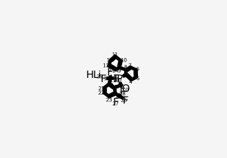 O=C(Pc1ccccc1-c1ccccc1)c1c(C(F)(F)F)cccc1C(F)(F)F.[LiH]